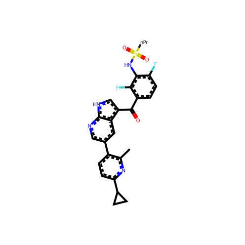 CCCS(=O)(=O)Nc1c(F)ccc(C(=O)c2c[nH]c3ncc(-c4ccc(C5CC5)nc4C)cc23)c1F